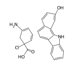 NC1=CC=CC(Cl)(C(=O)O)C1.Oc1ccc2ccc3c4ccccc4[nH]c3c2c1